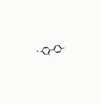 CCOc1ccc(-c2ccc(Br)cc2)c(F)c1